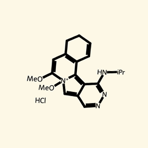 COC1=CC2=C(C=CCC2)C2=c3c(NC(C)C)nncc3=C[N+]12OC.Cl